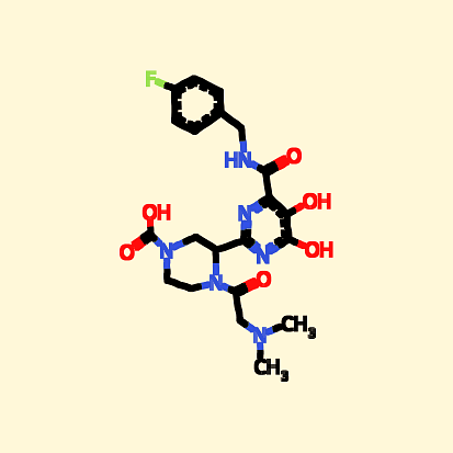 CN(C)CC(=O)N1CCN(C(=O)O)CC1c1nc(O)c(O)c(C(=O)NCc2ccc(F)cc2)n1